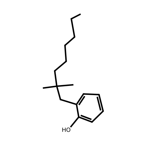 CCCCCCC(C)(C)Cc1ccccc1O